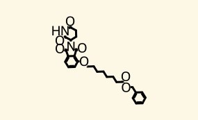 O=C1CCC(N2C(=O)c3cccc(OCCCCCCCC(=O)OCc4ccccc4)c3C2=O)C(=O)N1